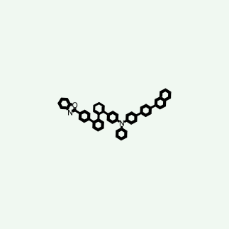 C1=C(c2ccc(N(c3ccccc3)c3ccc(-c4ccc(-c5ccc6ccccc6c5)cc4)cc3)cc2)C(c2ccccc2-c2ccc(-c3nc4ccccc4o3)cc2)=CCC1